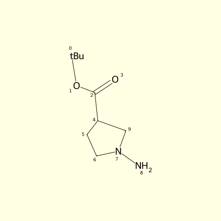 CC(C)(C)OC(=O)C1CCN(N)C1